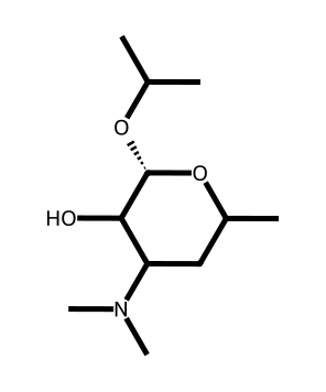 CC(C)O[C@@H]1OC(C)CC(N(C)C)C1O